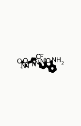 Cn1nc(-c2cc(C(F)(F)F)n(-c3ccc(-c4ccccc4C(N)=O)cn3)n2)oc1=O